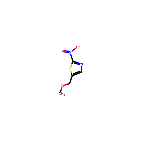 COCc1cnc([N+](=O)[O-])s1